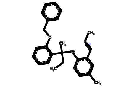 CCC(C)(Pc1ccc(C)cc1/C=N/C)c1ccccc1OCc1ccccc1